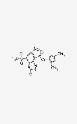 Cc1cc(OC(=O)c2c([N+](=O)[O-])cc(S(C)(=O)=O)c3cc(Cl)cnc23)n(C)n1